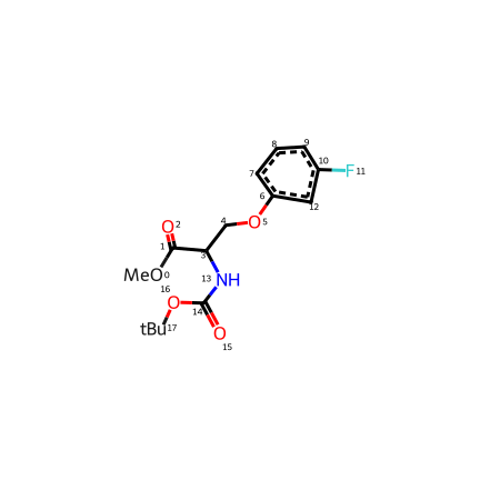 COC(=O)C(COc1cccc(F)c1)NC(=O)OC(C)(C)C